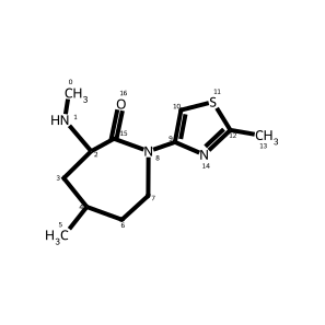 CNC1CC(C)CCN(c2csc(C)n2)C1=O